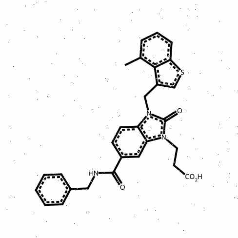 Cc1cccc2scc(Cn3c(=O)n(CCC(=O)O)c4cc(C(=O)NCc5ccccc5)ccc43)c12